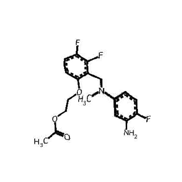 CC(=O)OCCOc1ccc(F)c(F)c1CN(C)c1ccc(F)c(N)c1